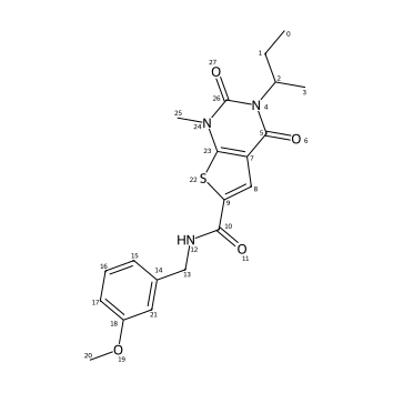 CCC(C)n1c(=O)c2cc(C(=O)NCc3cccc(OC)c3)sc2n(C)c1=O